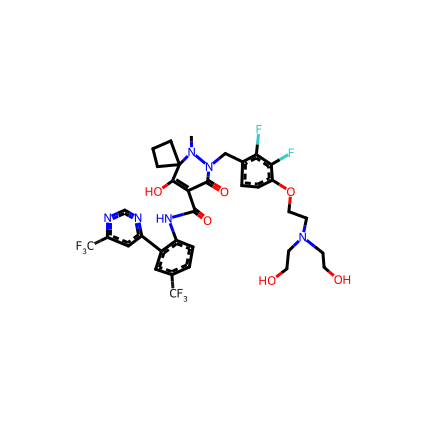 CN1N(Cc2ccc(OCCN(CCO)CCO)c(F)c2F)C(=O)C(C(=O)Nc2ccc(C(F)(F)F)cc2-c2cc(C(F)(F)F)ncn2)=C(O)C12CCC2